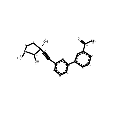 CN1CC[C@@](O)(C#Cc2cccc(-c3cccc(C(N)=O)c3)c2)C1O